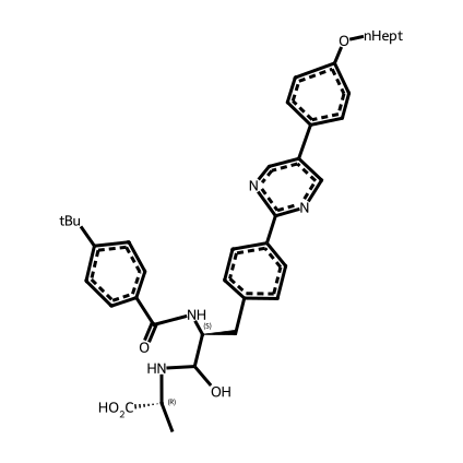 CCCCCCCOc1ccc(-c2cnc(-c3ccc(C[C@H](NC(=O)c4ccc(C(C)(C)C)cc4)C(O)N[C@H](C)C(=O)O)cc3)nc2)cc1